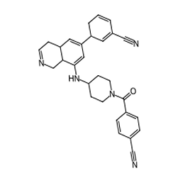 N#CC1=CC(C2=CC3CC=NCC3C(NC3CCN(C(=O)c4ccc(C#N)cc4)CC3)=C2)CC=C1